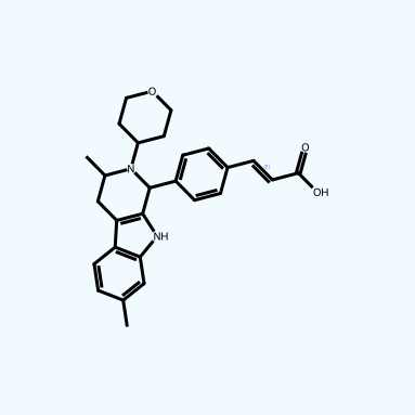 Cc1ccc2c3c([nH]c2c1)C(c1ccc(/C=C/C(=O)O)cc1)N(C1CCOCC1)C(C)C3